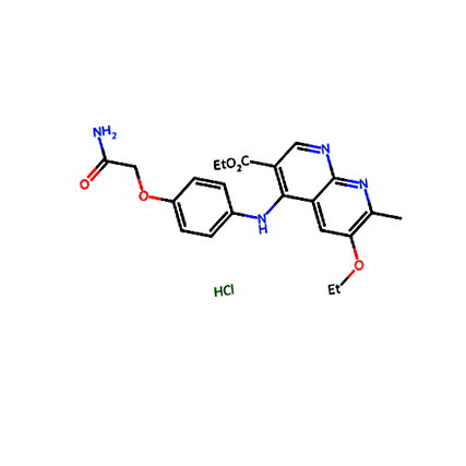 CCOC(=O)c1cnc2nc(C)c(OCC)cc2c1Nc1ccc(OCC(N)=O)cc1.Cl